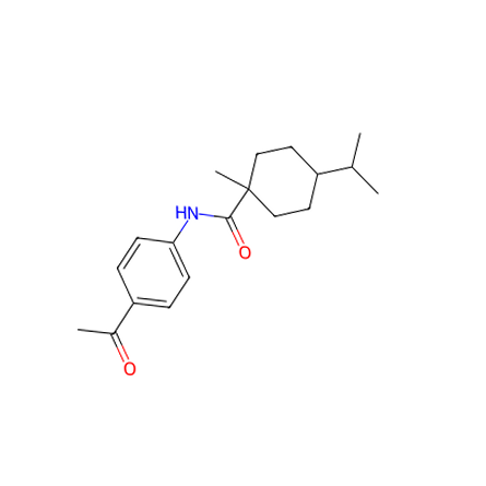 CC(=O)c1ccc(NC(=O)C2(C)CCC(C(C)C)CC2)cc1